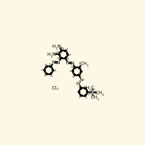 Cc1cc(N=Nc2cccc([N+](C)(C)C)c2)ccc1N=Nc1ccc(N)c(N)c1N=Nc1ccccc1.[Cl-]